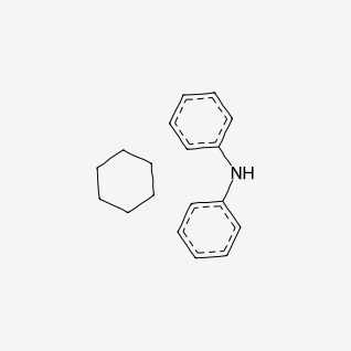 C1CCCCC1.c1ccc(Nc2ccccc2)cc1